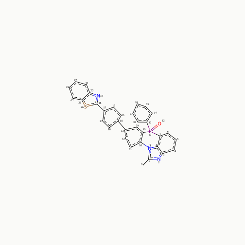 Cc1nc2cccc3c2n1-c1ccc(-c2ccc(-c4nc5ccccc5s4)cc2)cc1P3(=O)c1ccccc1